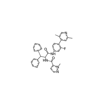 Cc1cc(-c2ccc(NC(=O)C(NC(=O)c3ccnn3C)C(c3ccccc3)c3ccccc3)cc2F)c(C)cn1